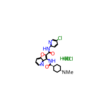 CN[C@H]1CC[C@H](C(=O)Nc2c(C(=O)Nc3ccc(Cl)cn3)oc3cccnc23)CC1.Cl.Cl.Cl